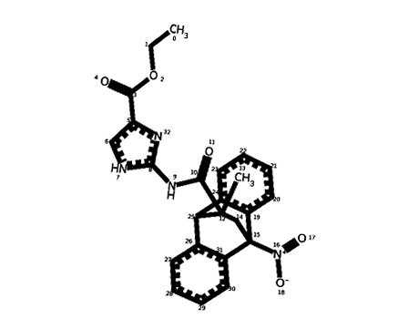 CCOC(=O)c1c[nH]c(NC(=O)C2(C)CC3([N+](=O)[O-])c4ccccc4C2c2ccccc23)n1